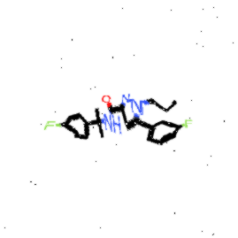 CCCN1N=C(C(=O)NC(C)(C)c2ccc(F)cc2)CC1c1cccc(F)c1